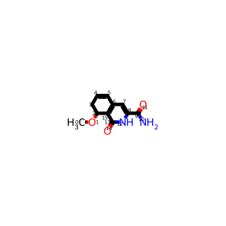 COC1CC=Cc2cc(C(N)=O)[nH]c(=O)c21